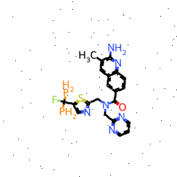 Cc1cc2cc(C(=O)N(Cc3ncccn3)Cc3ncc(C(F)(P)P)s3)ccc2nc1N